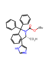 CC(C)(C)OC(=O)N([C@@H](Cc1cnc[nH]1)C(=O)O)C(c1ccccc1)(c1ccccc1)c1ccccc1